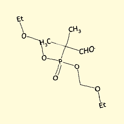 CCOCOP(=O)(OCOCC)C(C)(C)[C]=O